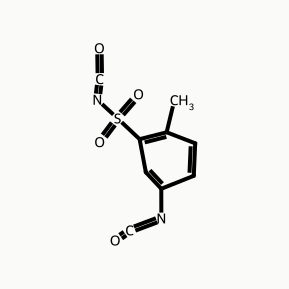 Cc1ccc(N=C=O)cc1S(=O)(=O)N=C=O